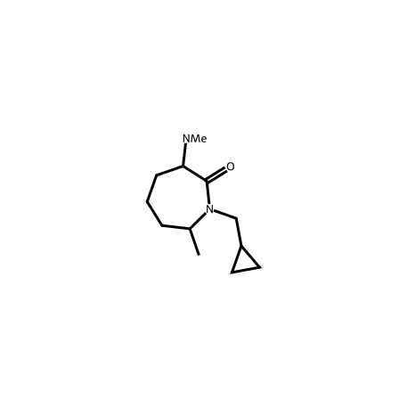 CNC1CCCC(C)N(CC2CC2)C1=O